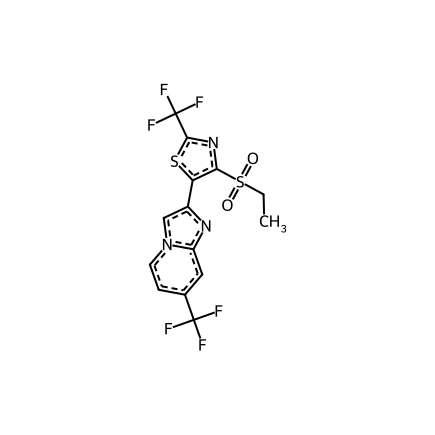 CCS(=O)(=O)c1nc(C(F)(F)F)sc1-c1cn2ccc(C(F)(F)F)cc2n1